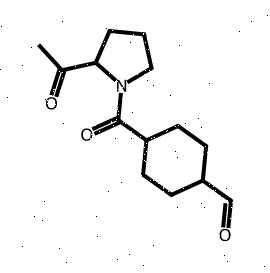 CC(=O)C1CCCN1C(=O)C1CCC(C=O)CC1